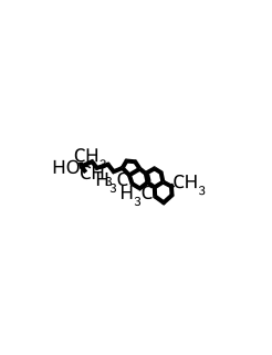 CC1CCCC2(C)C3=C(CCC12)C1CCC(CCCCC(C)(C)O)C1(C)CC3